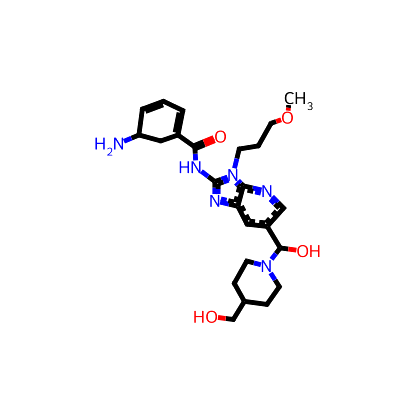 COCCCn1c(NC(=O)C2=CC=CC(N)C2)nc2cc(C(O)N3CCC(CO)CC3)cnc21